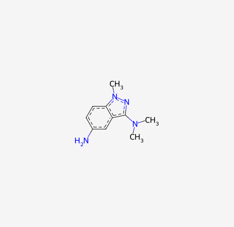 CN(C)c1nn(C)c2ccc(N)cc12